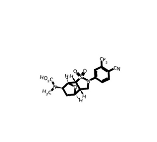 CN(C(=O)O)[C@@H]1C[C@H]2O[C@@H]1[C@H]1[C@@H]2CN(c2ccc(C#N)c(C(F)(F)F)c2)S1(=O)=O